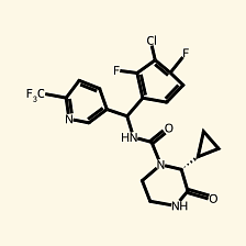 O=C1NCCN(C(=O)NC(c2ccc(C(F)(F)F)nc2)c2ccc(F)c(Cl)c2F)[C@@H]1C1CC1